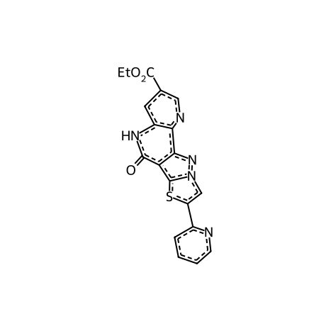 CCOC(=O)c1cnc2c(c1)[nH]c(=O)c1c2nn2cc(-c3ccccn3)sc12